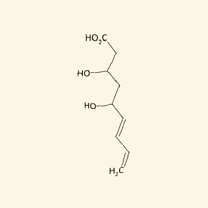 C=CC=CC(O)CC(O)CC(=O)O